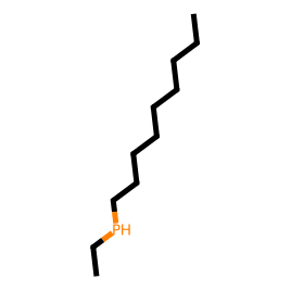 CCCCCCCCCPCC